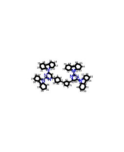 c1cc(-c2ccc(-c3cc(-n4c5ccccc5c5ccccc54)nc(-n4c5ccccc5c5ccccc54)n3)cc2)cc(-c2cc(-n3c4ccccc4c4ccccc43)nc(-n3c4ccccc4c4ccccc43)n2)c1